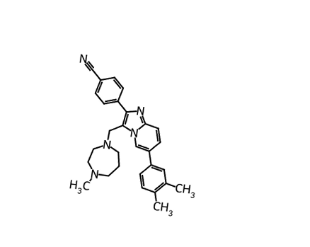 Cc1ccc(-c2ccc3nc(-c4ccc(C#N)cc4)c(CN4CCCN(C)CC4)n3c2)cc1C